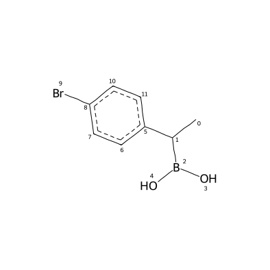 CC(B(O)O)c1ccc(Br)cc1